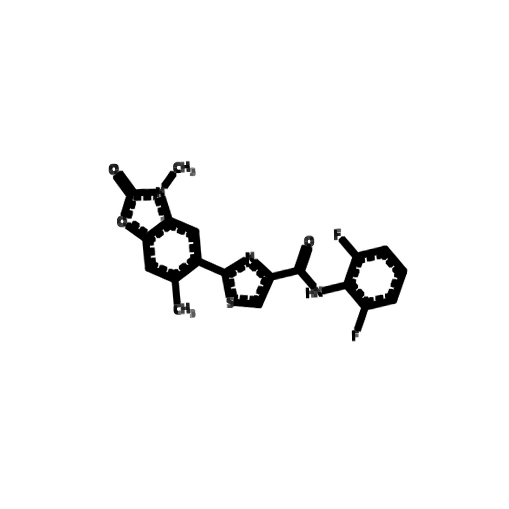 Cc1cc2oc(=O)n(C)c2cc1-c1nc(C(=O)Nc2c(F)cccc2F)cs1